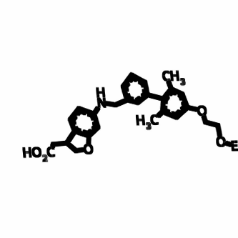 CCOCCOc1cc(C)c(-c2cccc(CNc3ccc4c(c3)OCC4CC(=O)O)c2)c(C)c1